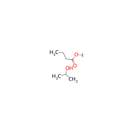 CC(C)O.CCCC(=O)OI